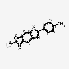 Cc1ccc(-c2nc3cc4nc(C)oc4cc3o2)cc1